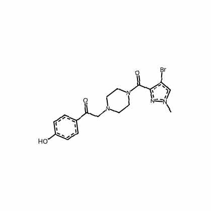 Cn1cc(Br)c(C(=O)N2CCN(CC(=O)c3ccc(O)cc3)CC2)n1